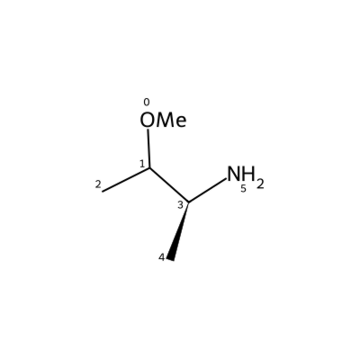 COC(C)[C@H](C)N